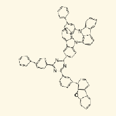 c1ccc(-c2ccc(-c3nc(-c4cccc(-c5cccc6c5oc5ccccc56)c4)nc(-c4ccc5c(c4)c4ccccc4n5-c4cccc5c6ccccc6n(-c6cccc(-c7ccccc7)c6)c45)n3)cc2)cc1